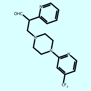 O=CC(CN1CCN(c2cc(C(F)(F)F)ccn2)CC1)c1ccccn1